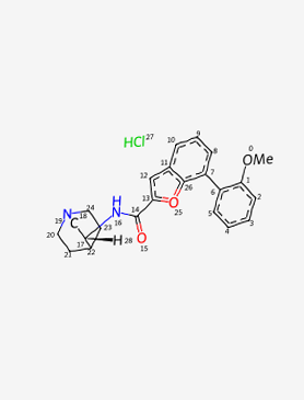 COc1ccccc1-c1cccc2cc(C(=O)N[C@H]3CN4CCC3CC4)oc12.Cl